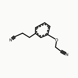 N#CCCc1cccc(OCC#N)c1